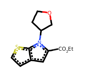 CCOC(=O)c1cc2ccsc2n1C1CCOC1